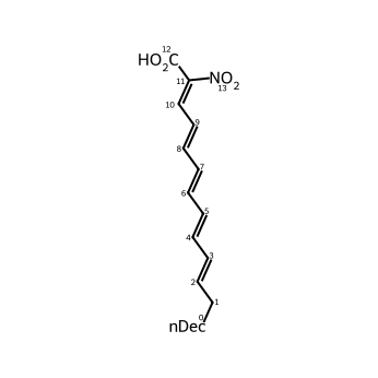 CCCCCCCCCCC/C=C/C=C/C=C/C=C/C=C(/C(=O)O)[N+](=O)[O-]